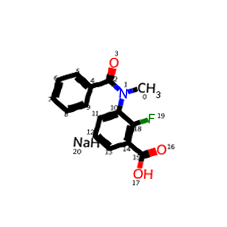 CN(C(=O)c1ccccc1)c1cccc(C(=O)O)c1F.[NaH]